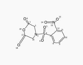 O=C1CN(S(=O)(=O)c2ccccc2[N+](=O)[O-])CC(=O)O1